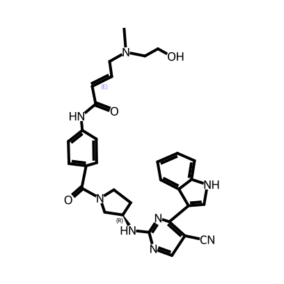 CN(C/C=C/C(=O)Nc1ccc(C(=O)N2CC[C@@H](Nc3ncc(C#N)c(-c4c[nH]c5ccccc45)n3)C2)cc1)CCO